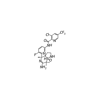 CC1(C)C(N)=N[C@](C)(c2cc(NC(=O)c3ncc(C(F)(F)F)cc3Cl)ccc2F)[C@@H]2CCN[SH]21=O